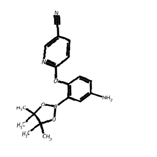 CC1(C)OB(c2cc(N)ccc2Oc2ccc(C#N)cn2)OC1(C)C